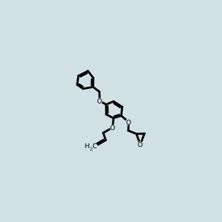 C=CCOc1cc(OCc2ccccc2)ccc1OCC1CO1